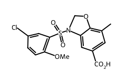 COc1ccc(Cl)cc1S(=O)(=O)N1COc2c(C)cc(C(=O)O)cc21